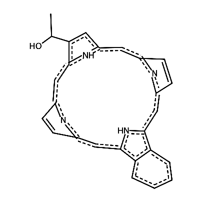 CC(O)c1cc2cc3nc(cc4[nH]c(cc5nc(cc1[nH]2)C=C5)c1ccccc41)C=C3